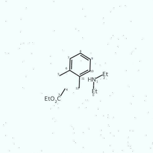 CCNCC.CCOC(C)=O.Cc1ccccc1C